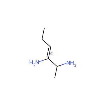 CC/C=C(\N)C(C)N